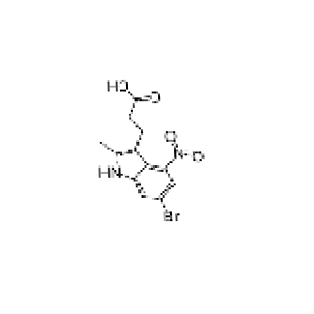 Cc1[nH]c2cc(Br)cc([N+](=O)[O-])c2c1CCC(=O)O